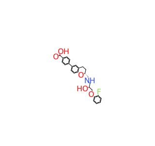 O=C(O)c1ccc(-c2ccc3c(c2)CC[C@H](CNC[C@H](O)COc2ccccc2F)O3)cc1